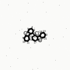 ClC1(c2cccc3oc4ccccc4c23)CC=Cc2oc3ccccc3c21